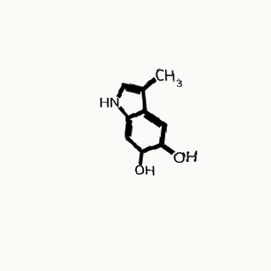 Cc1c[nH]c2c1=CC(O)C(O)C=2